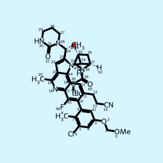 COCOc1cc(Cl)c(C)c(-c2c(CCC#N)cc3c(nc(C)c4cc([C@@H](C)N5CCCNC5=O)n([C@H]5[C@@H]6C[C@H]5N(C(=O)OC(C)(C)C)C6)c43)c2F)c1